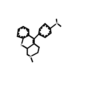 CN1CCC2=C(c3ccc(N(C)C)cc3)c3ccccc3SC2C1